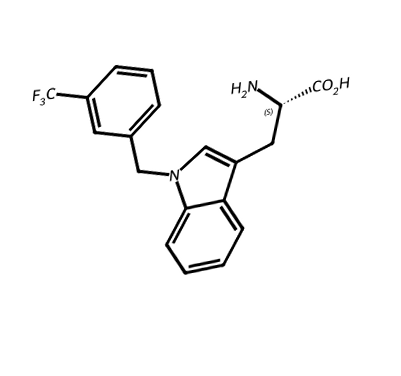 N[C@@H](Cc1cn(Cc2cccc(C(F)(F)F)c2)c2ccccc12)C(=O)O